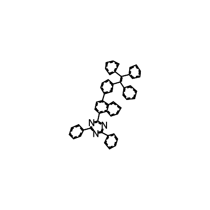 c1ccc(C(=C(c2ccccc2)c2cccc(-c3ccc(-c4nc(-c5ccccc5)nc(-c5ccccc5)n4)c4ccccc34)c2)c2ccccc2)cc1